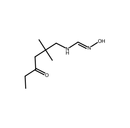 CCC(=O)CC(C)(C)CNC=NO